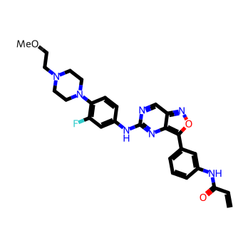 C=CC(=O)Nc1cccc(-c2onc3cnc(Nc4ccc(N5CCN(CCOC)CC5)c(F)c4)nc23)c1